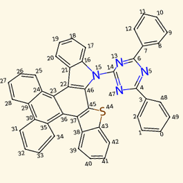 c1ccc(-c2nc(-c3ccccc3)nc(-n3c4ccccc4c4c5c6ccccc6c6ccccc6c5c5c6ccccc6sc5c43)n2)cc1